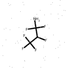 NC(F)(F)C(F)C(F)(F)F